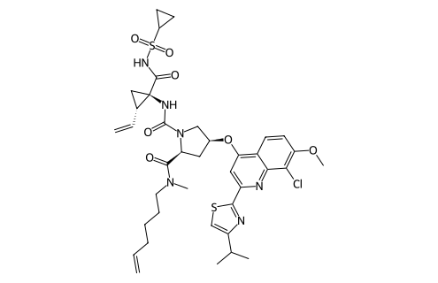 C=CCCCCN(C)C(=O)[C@@H]1C[C@H](Oc2cc(-c3nc(C(C)C)cs3)nc3c(Cl)c(OC)ccc23)CN1C(=O)N[C@]1(C(=O)NS(=O)(=O)C2CC2)C[C@H]1C=C